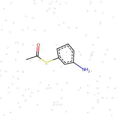 CC(=O)Sc1cccc(N)c1